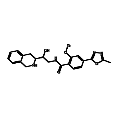 CCOc1cc(-c2nnc(C)o2)ccc1C(=O)NCC(O)[C@@H]1Cc2ccccc2CN1